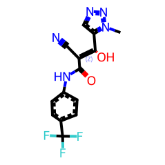 Cn1nncc1/C(O)=C(\C#N)C(=O)Nc1ccc(C(F)(F)F)cc1